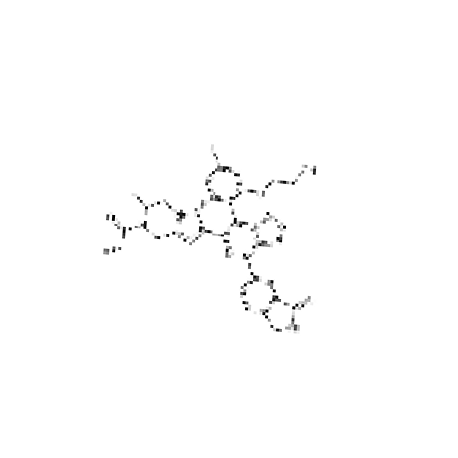 C=CC(=O)N1Cc2cc(-c3nc(-c4ccc5c(c4)C(=O)NC5)c4ccsc4c3-c3c(F)cc(F)cc3OCCO)nn2CC1C